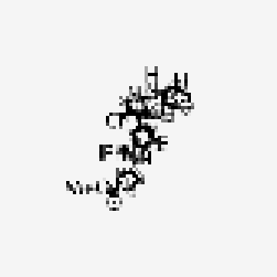 COC(=O)N1CC[C@@H](c2nc3c(F)cc(-c4nc(N[C@@H]5C[C@@H]6CO[C@@H](O6)[C@H]5O)ncc4Cl)cc3n2C(C)C)C1